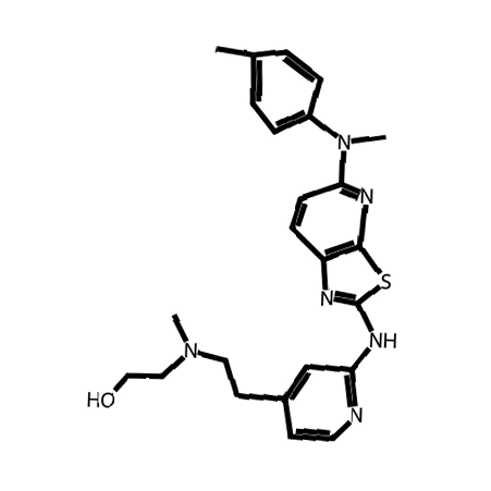 Cc1ccc(N(C)c2ccc3nc(Nc4cc(CCN(C)CCO)ccn4)sc3n2)cc1